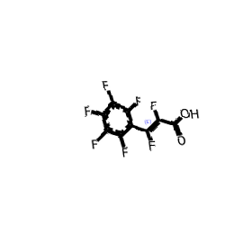 O=C(O)/C(F)=C(\F)c1c(F)c(F)c(F)c(F)c1F